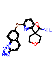 NC(=O)C1(c2cccc(Sc3ccc4c(ccc5nnnn54)c3)n2)CCOCC1